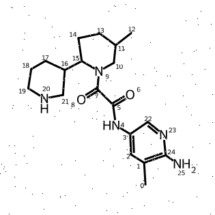 Cc1cc(NC(=O)C(=O)N2CC(C)CCC2C2CCCNC2)cnc1N